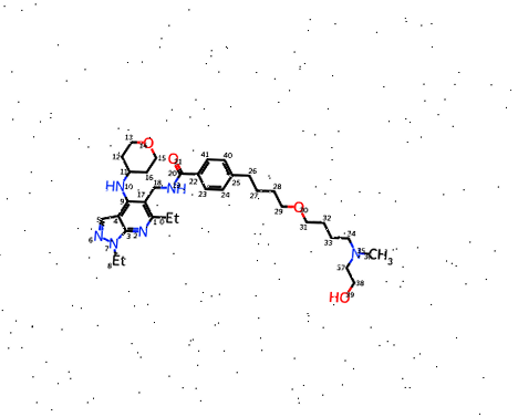 CCc1nc2c(cnn2CC)c(NC2CCOCC2)c1CNC(=O)c1ccc(CCCCOCCCCN(C)CCO)cc1